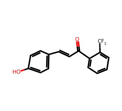 O=C(/C=C/c1ccc(O)cc1)c1ccccc1C(F)(F)F